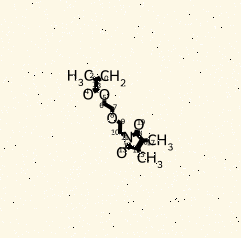 C=C(C)C(=O)OCCOCCN1C(=O)C(C)=C(C)C1=O